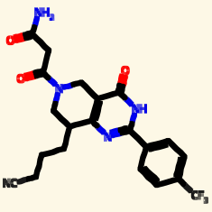 N#CCCCC1CN(C(=O)CC(N)=O)Cc2c1nc(-c1ccc(C(F)(F)F)cc1)[nH]c2=O